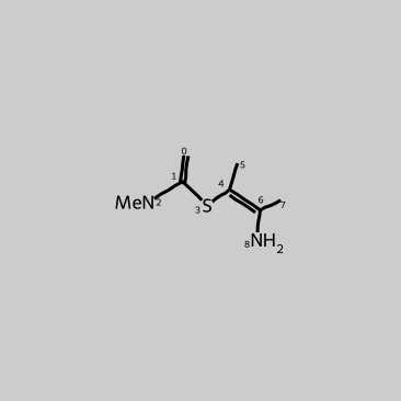 C=C(NC)S/C(C)=C(/C)N